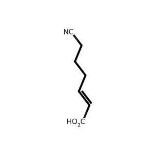 N#CCCCC=CC(=O)O